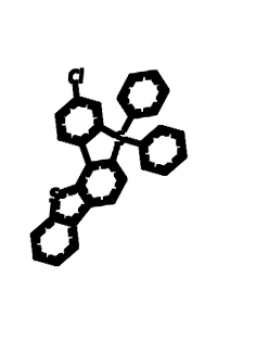 Clc1ccc2c(c1)S(c1ccccc1)(c1ccccc1)c1ccc3c(sc4ccccc43)c1-2